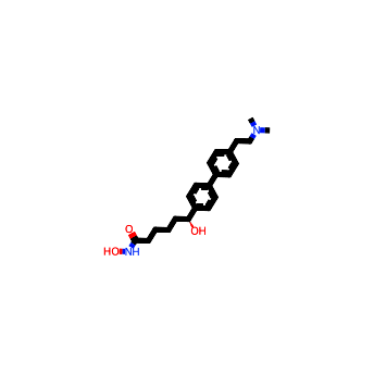 CN(C)CCc1ccc(-c2ccc([C@H](O)CCCCC(=O)NO)cc2)cc1